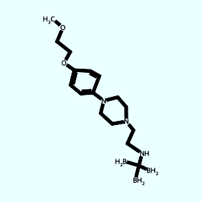 BC(B)(B)NCCN1CCN(c2ccc(OCCOC)cc2)CC1